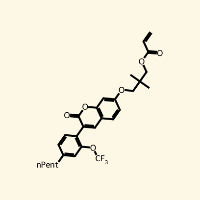 C=CC(=O)OCC(C)(C)COc1ccc2cc(-c3ccc(CCCCC)cc3OC(F)(F)F)c(=O)oc2c1